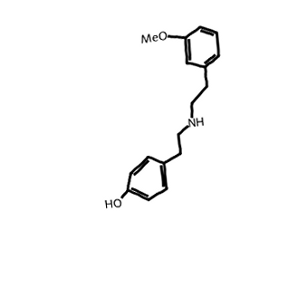 COc1cccc(CCNCCc2ccc(O)cc2)c1